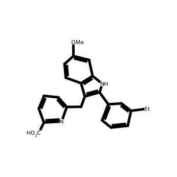 CCc1cccc(-c2[nH]c3cc(OC)ccc3c2Cc2cccc(C(=O)O)n2)c1